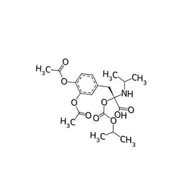 CC(=O)Oc1ccc(C[C@](NC(C)C)(OC(=O)OC(C)C)C(=O)O)cc1OC(C)=O